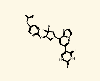 O=c1[nH]cc(-c2cc(N3CC(Oc4ccc(OC(F)F)cn4)C(F)(F)C3)c3nccn3n2)c(=O)[nH]1